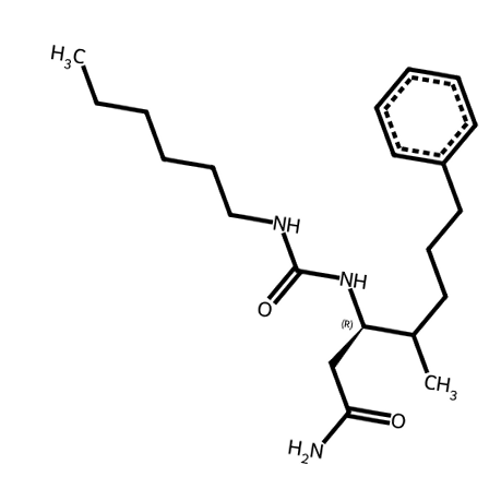 CCCCCCNC(=O)N[C@H](CC(N)=O)C(C)CCCc1ccccc1